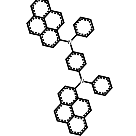 c1ccc(N(c2ccc(N(c3ccccc3)c3ccc4ccc5cccc6ccc3c4c56)cc2)c2ccc3ccc4cccc5ccc2c3c45)cc1